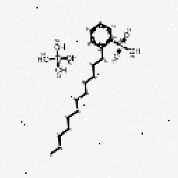 CCCCCCCCCCCCc1ccccc1S(=O)(=O)O.[OH][Ti]([OH])([OH])[OH]